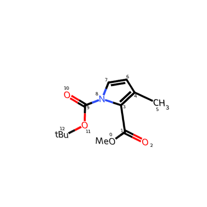 COC(=O)c1c(C)ccn1C(=O)OC(C)(C)C